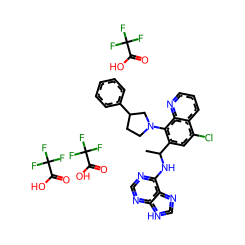 CC(Nc1ncnc2[nH]cnc12)c1cc(Cl)c2cccnc2c1N1CCC(c2ccccc2)C1.O=C(O)C(F)(F)F.O=C(O)C(F)(F)F.O=C(O)C(F)(F)F